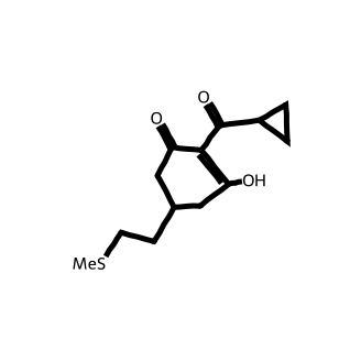 CSCCC1CC(=O)C(C(=O)C2CC2)=C(O)C1